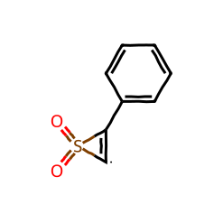 O=S1(=O)[C]=C1c1ccccc1